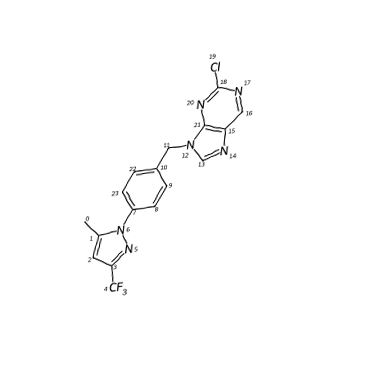 Cc1cc(C(F)(F)F)nn1-c1ccc(Cn2cnc3cnc(Cl)nc32)cc1